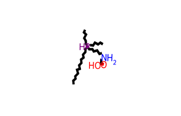 CCCCCCCCCCCCCC[PH](CCCCCC)(CCCCCC)CCCCCC.NCC(=O)O